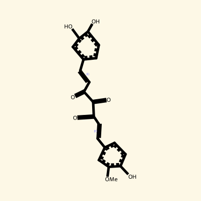 COc1cc(/C=C/C(=O)C(=O)C(=O)/C=C/c2ccc(O)c(O)c2)ccc1O